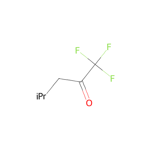 CC(C)CC(=O)C(F)(F)F